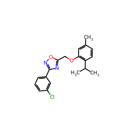 Cc1ccc(C(C)C)c(OCc2nc(-c3cccc(Cl)c3)no2)c1